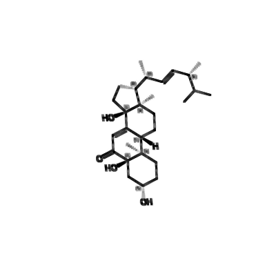 CC(C)[C@@H](C)C=C[C@@H](C)[C@H]1CC[C@@]2(O)C3=CC(=O)[C@@]4(O)C[C@@H](O)CC[C@]4(C)[C@H]3CC[C@]12C